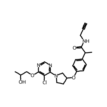 C#CCNC(=O)C(C)c1ccc(OC2CCN(c3ncnc(OCC(C)O)c3Cl)C2)cc1